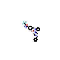 O=C(N1CCN(Cc2ccccc2)CC1)N(CC1=CC=CC(c2nnc(C(F)(F)F)o2)C=C1)c1ccccc1